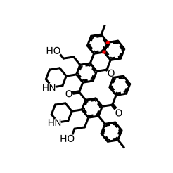 Cc1ccc(-c2c(C(=O)c3ccccc3)cc(C(=O)c3cc(C(=O)c4ccccc4)c(-c4ccc(C)cc4)c(CCO)c3C3CCCNC3)c(C3CCCNC3)c2CCO)cc1